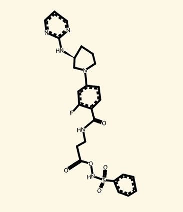 O=C(CCNC(=O)c1ccc(N2CCC[C@H](Nc3ncccn3)C2)cc1F)ONS(=O)(=O)c1ccccc1